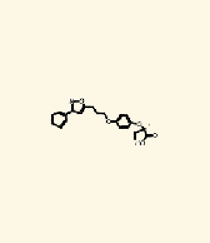 CC[C@@](C)(Oc1ccc(OCCCc2cc(-c3ccccc3)no2)cc1)C(=O)O